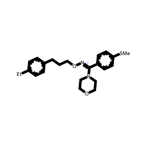 CCc1ccc(CCCO/N=C(/c2ccc(SC)cc2)N2CCOCC2)cc1